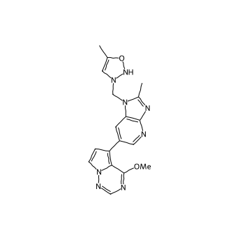 COc1ncnn2ccc(-c3cnc4nc(C)n(CN5C=C(C)ON5)c4c3)c12